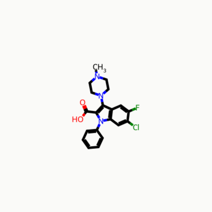 CN1CCN(c2c(C(=O)O)n(-c3ccccc3)c3cc(Cl)c(F)cc23)CC1